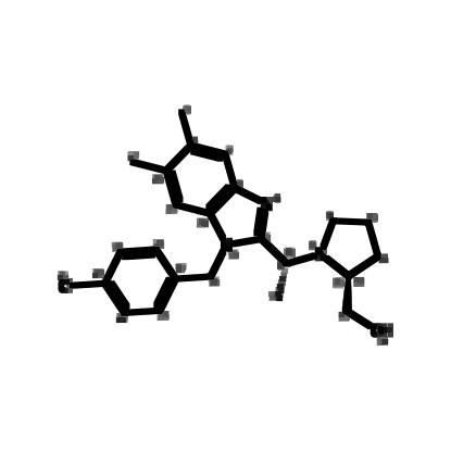 Cc1cc2nc([C@@H](C)N3CCC[C@H]3CO)n(Cc3ccc(Cl)cc3)c2cc1C